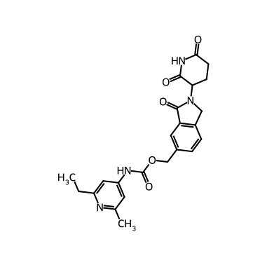 CCc1cc(NC(=O)OCc2ccc3c(c2)C(=O)N(C2CCC(=O)NC2=O)C3)cc(C)n1